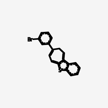 Brc1cccc(C2=CC=c3sc4ccccc4c3=CC2)c1